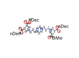 CCCCCCCCCCOC(=O)CCN(CCCN1CCN(CCCN(CCC(=O)OCCCCCCCCCC)CCC(=O)OCCCCCCCCCC)CC1)CCC(=O)OC